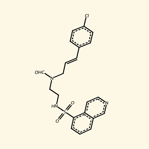 O=CN(CC=Cc1ccc(Cl)cc1)CCNS(=O)(=O)c1cccc2cnccc12